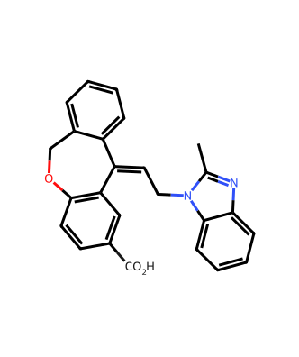 Cc1nc2ccccc2n1CC=C1c2ccccc2COc2ccc(C(=O)O)cc21